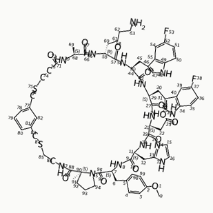 COc1ccc(C[C@@H]2NC(=O)[C@H](Cc3ncc[nH]3)NC(=O)[C@H](CC(=O)O)NC(=O)[C@H](Cc3c[nH]c4ccc(F)cc34)NC(=O)[C@H](Cc3c[nH]c4ccc(F)cc34)NC(=O)[C@@H](CCCCN)NC(=O)[C@H](C)NC(=O)CCSCc3cccc(c3)CSCCNC(=O)[C@]3(C)CCCN3C2=O)cc1